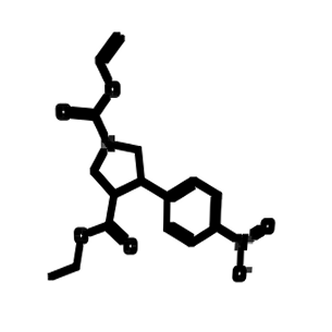 C=COC(=O)N1CC(C(=O)OCC)C(c2ccc([N+](=O)[O-])cc2)C1